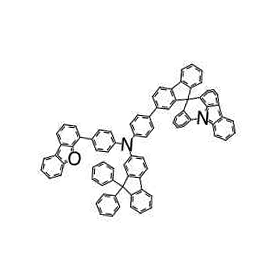 c1ccc(C2(c3ccccc3)c3ccccc3-c3ccc(N(c4ccc(-c5ccc6c(c5)C5(c7ccccc7-6)c6ccccc6-n6c7ccccc7c7cccc5c76)cc4)c4ccc(-c5cccc6c5oc5ccccc56)cc4)cc32)cc1